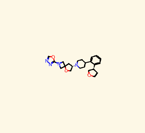 c1ccc([C@H]2CCOC2)c(C2CCN([C@@H]3COC4(C3)CN(c3nnco3)C4)CC2)c1